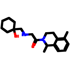 Cc1cccc2c1CCN(C(=O)CNCC1(O)CCCCC1)C2C